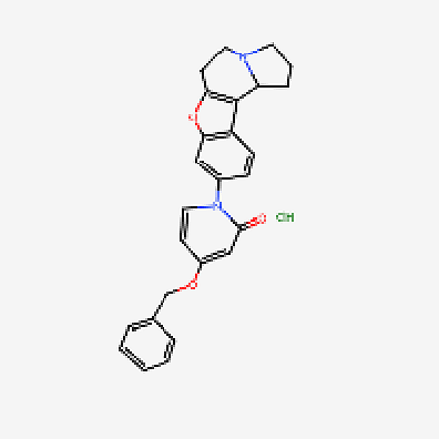 Cl.O=c1cc(OCc2ccccc2)ccn1-c1ccc2c3c(oc2c1)CCN1CCCC31